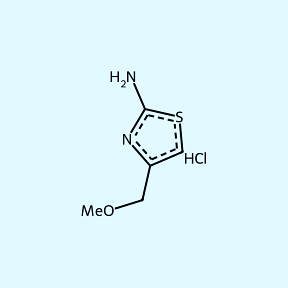 COCc1csc(N)n1.Cl